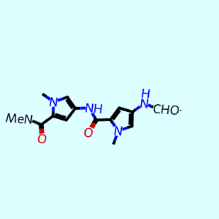 CNC(=O)c1cc(NC(=O)c2cc(N[C]=O)cn2C)cn1C